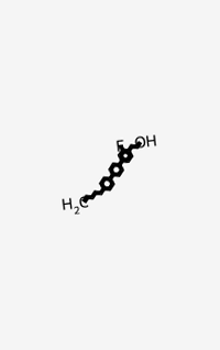 C=CCCCC1CCC(C2CCC(c3ccc(CCO)c(F)c3)CC2)CC1